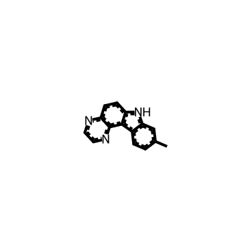 Cc1ccc2c(c1)[nH]c1ccc3nccnc3c12